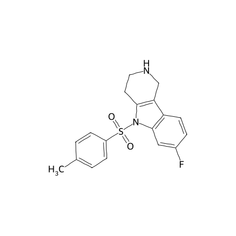 Cc1ccc(S(=O)(=O)n2c3c(c4ccc(F)cc42)CNCC3)cc1